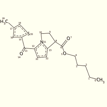 CCCCCOC(=O)C1CCn2c(C(=O)c3cc(C)cs3)ccc21